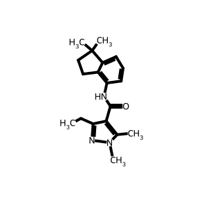 CCc1nn(C)c(C)c1C(=O)Nc1cccc2c1CCC2(C)C